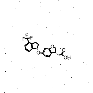 O=C(O)C[C@H]1COc2cc(O[C@H]3CCc4c3cccc4C(F)(F)F)ccc21